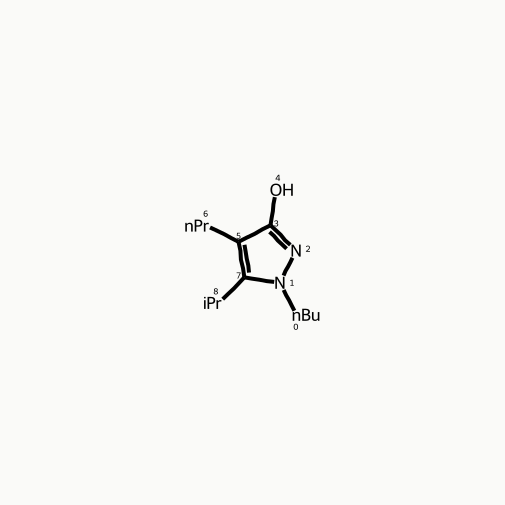 CCCCn1nc(O)c(CCC)c1C(C)C